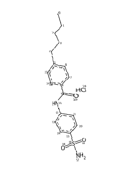 CCCCCc1ccc(C(=O)Nc2ccc(S(N)(=O)=O)cc2)nc1.Cl